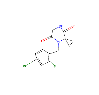 O=C1CNC(=O)C2(CC2)N1Cc1ccc(Br)cc1F